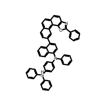 c1ccc(-c2nc3ccc4ccc5ccc(-c6ccc(N(c7ccccc7)c7ccc([SiH](c8ccccc8)c8ccccc8)cc7)c7ccccc67)cc5c4c3o2)cc1